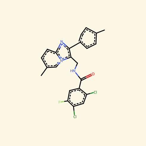 Cc1ccc(-c2nc3ccc(C)cn3c2CNC(=O)c2cc(F)c(Cl)cc2Cl)cc1